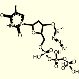 Cc1cn(C2CC(O[C@H](C)N=[N+]=[N-])C(COP(=O)(O)OP(=O)(O)OP(=O)(O)O)O2)c(=O)[nH]c1=O